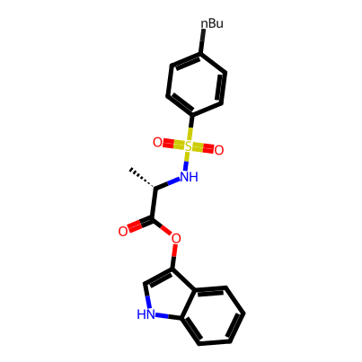 CCCCc1ccc(S(=O)(=O)N[C@@H](C)C(=O)Oc2c[nH]c3ccccc23)cc1